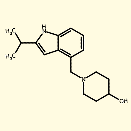 CC(C)c1cc2c(CN3CCC(O)CC3)cccc2[nH]1